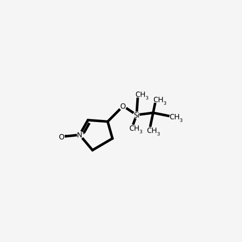 CC(C)(C)[Si](C)(C)OC1C=[N+]([O-])CC1